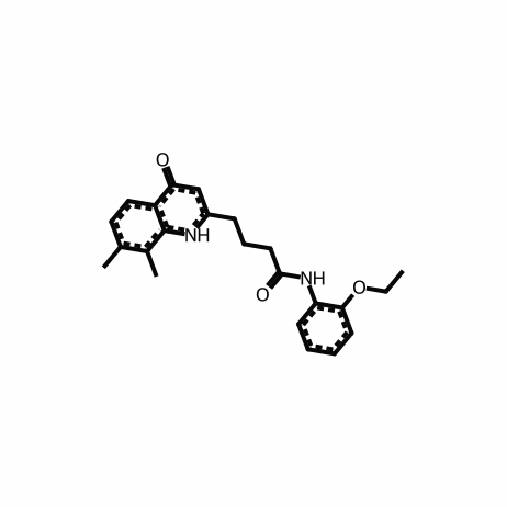 CCOc1ccccc1NC(=O)CCCc1cc(=O)c2ccc(C)c(C)c2[nH]1